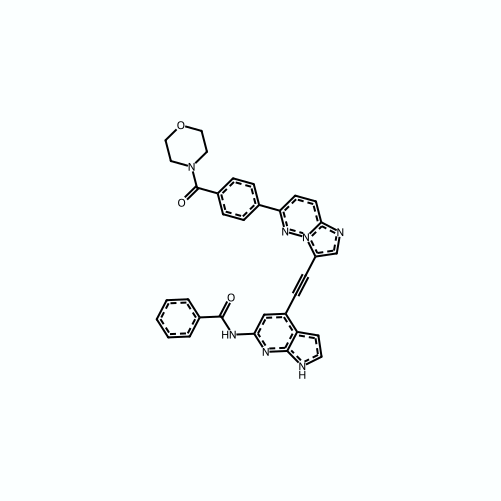 O=C(Nc1cc(C#Cc2cnc3ccc(-c4ccc(C(=O)N5CCOCC5)cc4)nn23)c2cc[nH]c2n1)c1ccccc1